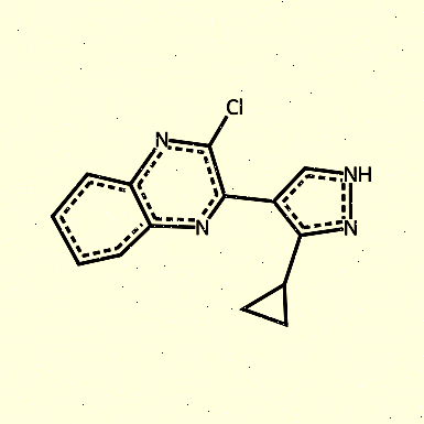 Clc1nc2ccccc2nc1-c1c[nH]nc1C1CC1